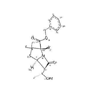 C[C@@H](O)[C@@H]1C(=O)N2[C@@H]1SC(C)(C)[C@]2(Br)C(=O)OCc1ccccc1